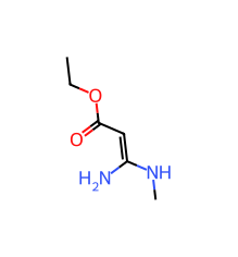 CCOC(=O)/C=C(\N)NC